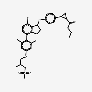 CCOC(=O)C1CC1c1ccc(OC2CCc3c(-c4c(C)cc(OCC(C)CS(C)(=O)=O)cc4C)ccc(F)c32)cc1